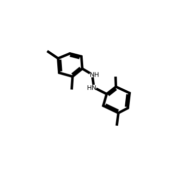 Cc1ccc(NNc2cc(C)ccc2C)c(C)c1